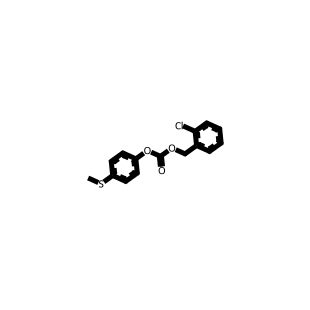 CSc1ccc(OC(=O)OCc2ccccc2Cl)cc1